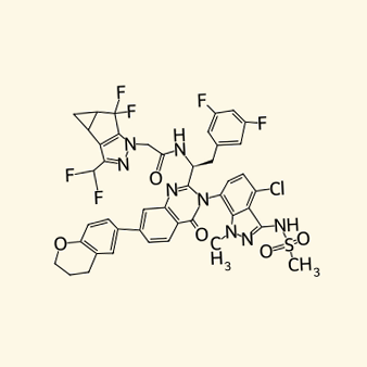 Cn1nc(NS(C)(=O)=O)c2c(Cl)ccc(-n3c([C@H](Cc4cc(F)cc(F)c4)NC(=O)Cn4nc(C(F)F)c5c4C(F)(F)C4CC54)nc4cc(-c5ccc6c(c5)CCCO6)ccc4c3=O)c21